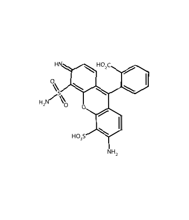 N=c1ccc2c(-c3ccccc3C(=O)O)c3ccc(N)c(S(=O)(=O)O)c3oc-2c1S(N)(=O)=O